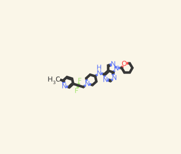 Cc1ccc(C(F)(F)CN2CCC(Nc3ncnc4c3cnn4C3CCCCO3)CC2)cn1